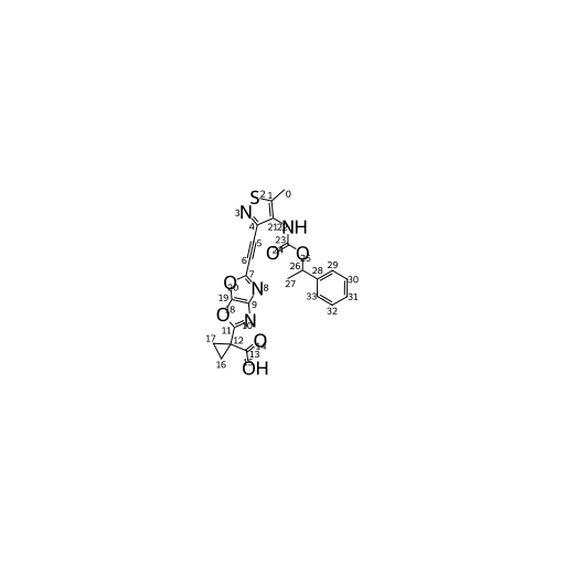 Cc1snc(C#Cc2nc3nc(C4(C(=O)O)CC4)oc3o2)c1NC(=O)OC(C)c1ccccc1